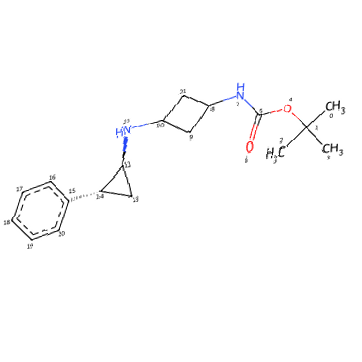 CC(C)(C)OC(=O)NC1CC(N[C@H]2C[C@@H]2c2ccccc2)C1